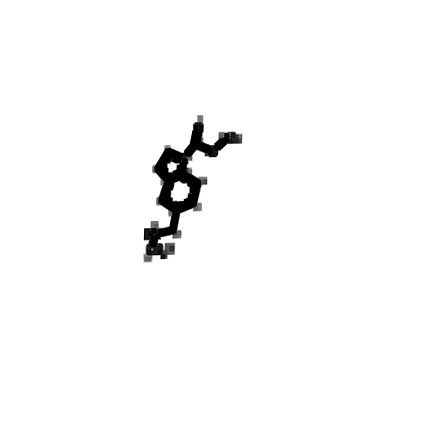 CC(C)(C)OC(=O)n1ccc2cc(CNC(=O)O)ccc21